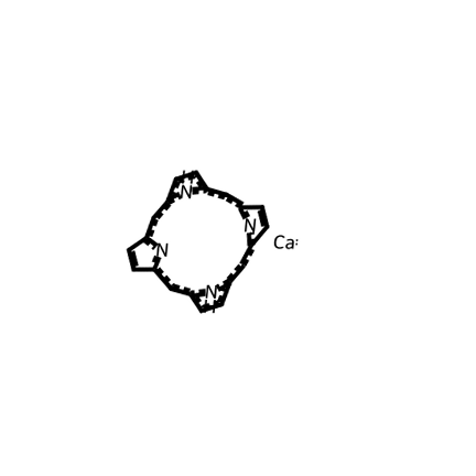 C1=Cc2cc3ccc(cc4nc(cc5ccc(cc1n2)[nH]5)C=C4)[nH]3.[Ca]